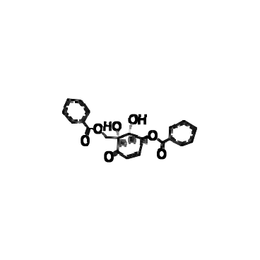 O=C(OC[C@]1(O)C(=O)C=C[C@H](OC(=O)c2ccccc2)[C@H]1O)c1ccccc1